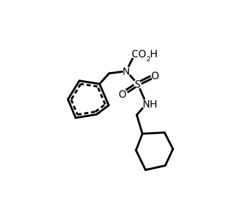 O=C(O)N(Cc1ccccc1)S(=O)(=O)NCC1CCCCC1